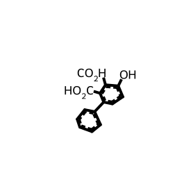 O=C(O)c1c(O)ccc(-c2ccccc2)c1C(=O)O